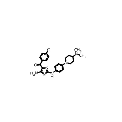 CN(C)C1CCN(c2ccc(Nc3nc(N)c(C(=O)c4ccc(Cl)cc4)s3)cc2)CC1